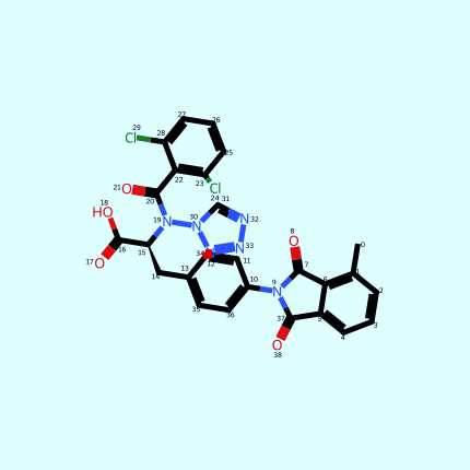 Cc1cccc2c1C(=O)N(c1ccc(C[C@@H](C(=O)O)N(C(=O)c3c(Cl)cccc3Cl)n3cnnn3)cc1)C2=O